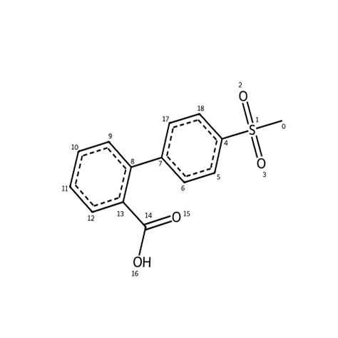 CS(=O)(=O)c1ccc(-c2ccccc2C(=O)O)cc1